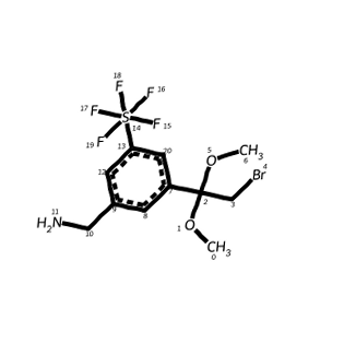 COC(CBr)(OC)c1cc(CN)cc(S(F)(F)(F)(F)F)c1